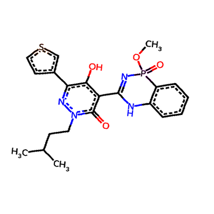 COP1(=O)N=C(c2c(O)c(-c3ccsc3)nn(CCC(C)C)c2=O)Nc2ccccc21